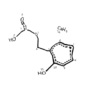 O=[PH](O)OCc1ccccc1O.[CaH2]